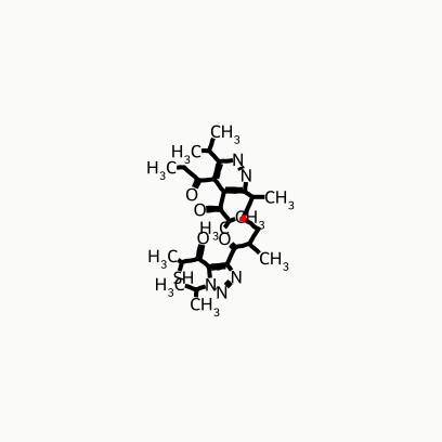 CCC(=O)c1c(C(C)C)nnc(C(C)CCC(C)C(=O)c2nnn(C(C)C)c2C(=O)C(C)S)c1C(=O)C(C)C